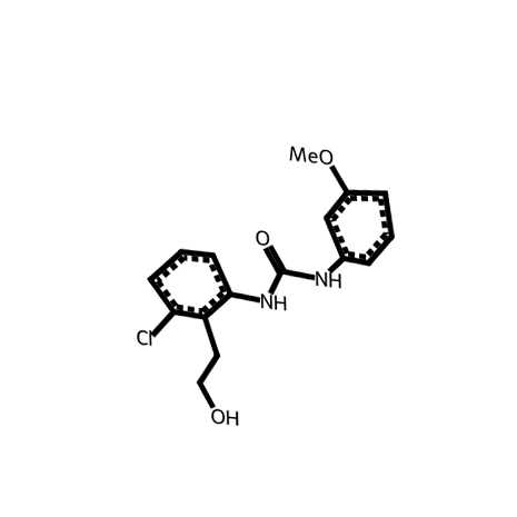 COc1cccc(NC(=O)Nc2cccc(Cl)c2CCO)c1